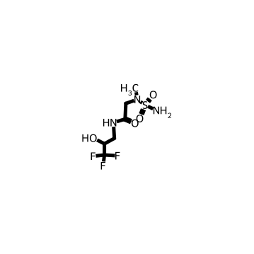 CN(CC(=O)NCC(O)C(F)(F)F)S(N)(=O)=O